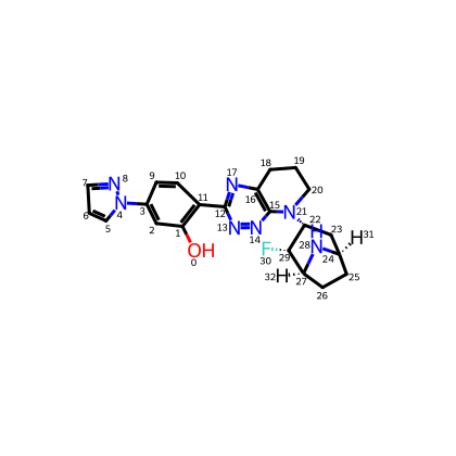 Oc1cc(-n2cccn2)ccc1-c1nnc2c(n1)CCCN2[C@@H]1C[C@H]2CC[C@H](N2)[C@@H]1F